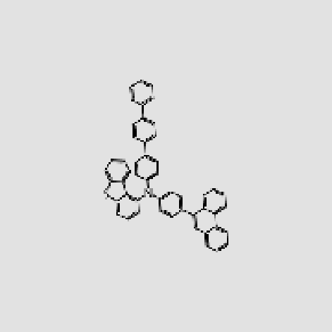 c1ccc(-c2ccc(-c3ccc(N(c4ccc(-c5cc6ccccc6c6ccccc56)cc4)c4cccc5sc6ccccc6c45)cc3)cc2)cc1